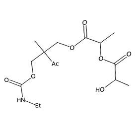 CCNC(=O)OCC(C)(COC(=O)C(C)OC(=O)C(C)O)C(C)=O